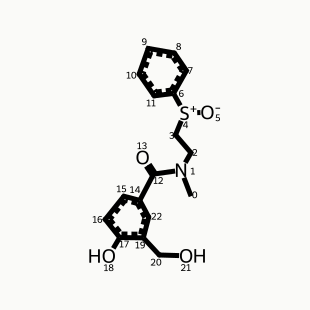 CN(CC[S+]([O-])c1ccccc1)C(=O)c1ccc(O)c(CO)c1